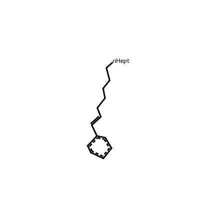 CCCCCCCCCCCCC=Cc1c[c]ccc1